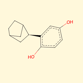 Oc1ccc(O)c([C@H]2CC3CCC2C3)c1